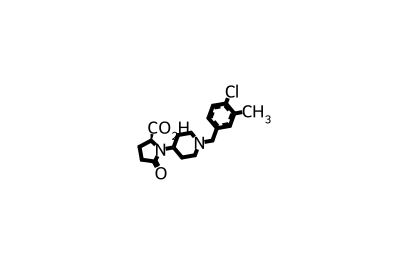 Cc1cc(CN2CCC(N3C(=O)CC[C@H]3C(=O)O)CC2)ccc1Cl